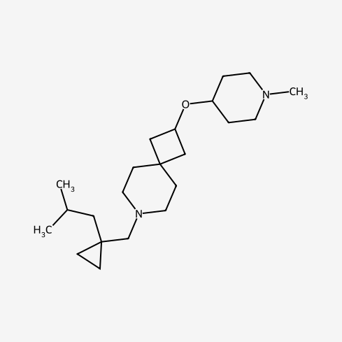 CC(C)CC1(CN2CCC3(CC2)CC(OC2CCN(C)CC2)C3)CC1